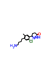 Cc1cc(C2=NNC(=O)CC2)c(Cl)cc1CCCCN